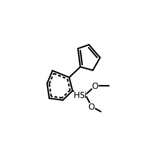 CO[SiH](OC)c1ccccc1C1=CC=CC1